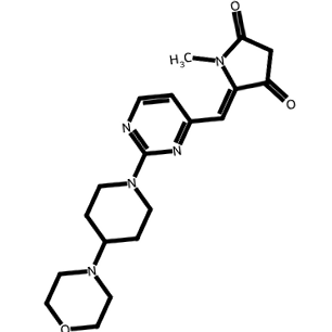 CN1C(=O)CC(=O)/C1=C/c1ccnc(N2CCC(N3CCOCC3)CC2)n1